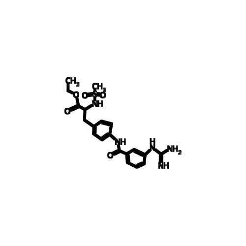 CCOC(=O)C(Cc1ccc(NC(=O)c2cccc(NC(=N)N)c2)cc1)NS(C)(=O)=O